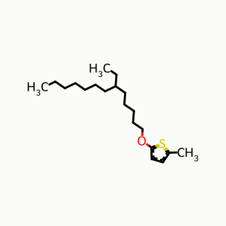 CCCCCCCC(CC)CCCCCOc1ccc(C)s1